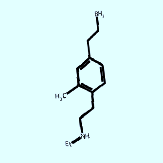 BCCc1ccc(CCNCC)c(C)c1